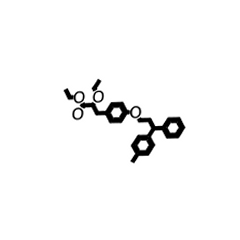 CCOC(=O)C(Cc1ccc(OCCC(c2ccccc2)c2ccc(C)cc2)cc1)OCC